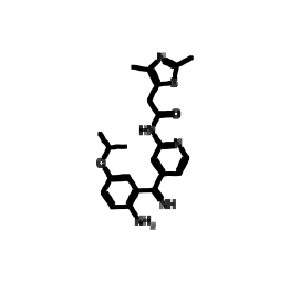 Cc1nc(C)c(CC(=O)Nc2cc(C(=N)c3cc(OC(C)C)ccc3N)ccn2)s1